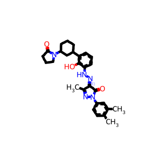 CC1=NN(c2ccc(C)c(C)c2)C(=O)/C1=N/Nc1cccc(C2CCCC(N3CCCC3=O)C2)c1O